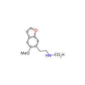 COc1cc2ccoc2cc1CCNC(=O)O